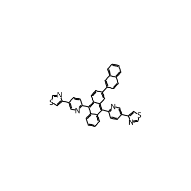 c1ccc2cc(-c3ccc4c(-c5ccc(-c6cscn6)cn5)c5ccccc5c(-c5ccc(-c6cscn6)cn5)c4c3)ccc2c1